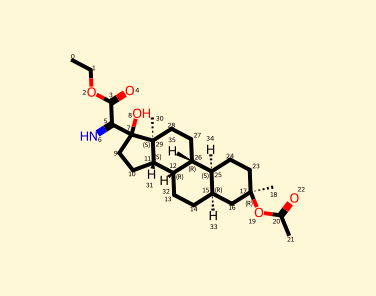 CCOC(=O)C(=N)C1(O)CC[C@H]2[C@@H]3CC[C@@H]4C[C@](C)(OC(C)=O)CC[C@@H]4[C@H]3CC[C@@]21C